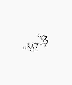 COc1cnc2ccc(=O)n(CCN3CC[C@@H](NC(=O)O)[C@@H](O)C3)c2c1